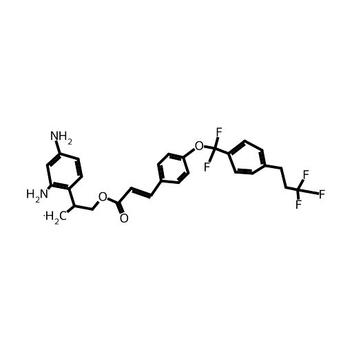 [CH2]C(COC(=O)/C=C/c1ccc(OC(F)(F)c2ccc(CCC(F)(F)F)cc2)cc1)c1ccc(N)cc1N